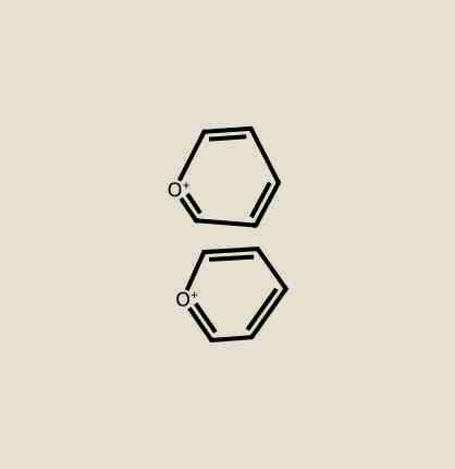 c1cc[o+]cc1.c1cc[o+]cc1